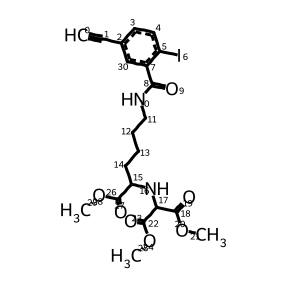 C#Cc1ccc(I)c(C(=O)NCCCCC(NC(C(=O)OC)C(=O)OC)C(=O)OC)c1